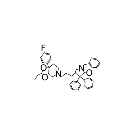 CCC(=O)OC1(c2ccc(F)cc2)CCN(CCCC2CN(Cc3ccccc3)C(=O)C2(c2ccccc2)c2ccccc2)CC1